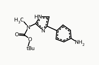 CN(C(=O)OC(C)(C)C)c1nc(-c2ccc(N)cc2)c[nH]1